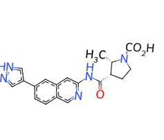 C[C@H]1[C@@H](C(=O)Nc2cc3cc(-c4cn[nH]c4)ccc3cn2)CCN1C(=O)O